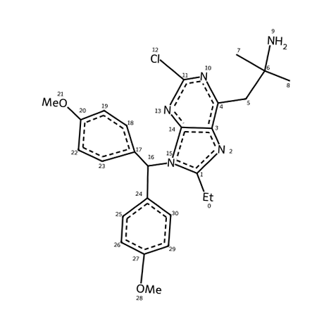 CCc1nc2c(CC(C)(C)N)nc(Cl)nc2n1C(c1ccc(OC)cc1)c1ccc(OC)cc1